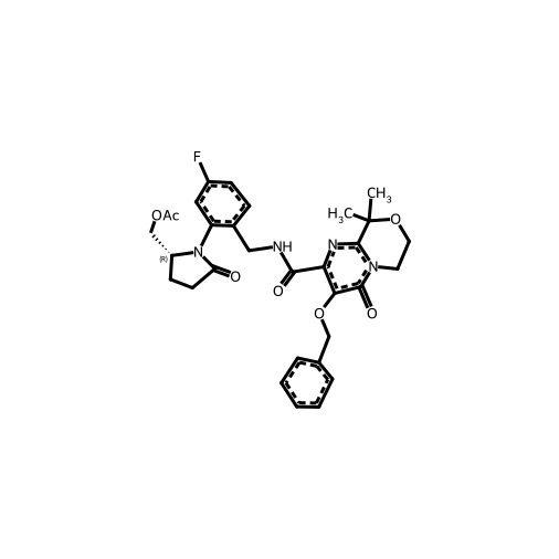 CC(=O)OC[C@H]1CCC(=O)N1c1cc(F)ccc1CNC(=O)c1nc2n(c(=O)c1OCc1ccccc1)CCOC2(C)C